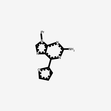 CC(C)n1cnc2c(-c3ccco3)nc(N)nc21